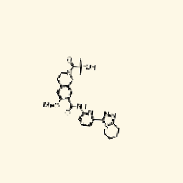 COc1cc2c(cc1C(=O)Nc1cccc(-c3nnc4n3CCCC4)n1)CN(C(=O)C(C)(C)O)CC2